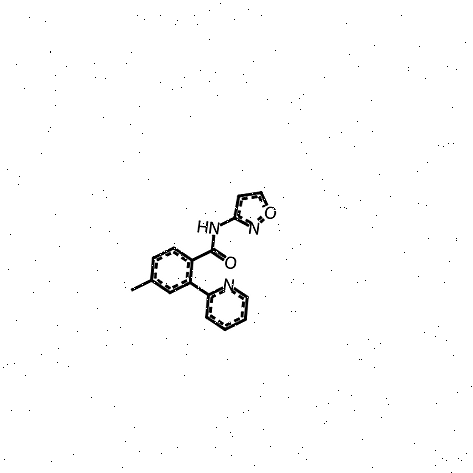 Cc1ccc(C(=O)Nc2ccon2)c(-c2ccccn2)c1